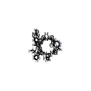 C=CC(C)(C)n1cc(C[C@@H]2NC(=O)[C@H](CC3CCC3)NC(=O)[C@H](CC(C)C)N3CC/C=C\C[C@@H](C3=O)N(C)C(=O)[C@H](C)NC(=O)[C@H](Cc3cccc4cnc(OC)nc34)NC(=O)[C@H](CC(C)C)N(C)C2=O)c2ccccc21